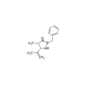 C=C(C)C1NB(Cc2ccccc2)NC1C